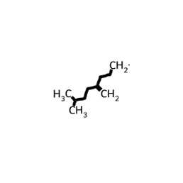 [CH2]CCC(=C)CCC(C)C